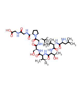 CC(C)C[C@H](NC(=O)[C@H](CO)NC(=O)[C@@H](NC(=O)[C@@H](NC(=O)[C@@H](NC(=O)[C@@H](N)CC(C)C)C(C)C)[C@@H](C)O)C(C)C)C(=O)N1CCC[C@H]1C(=O)NCC(=O)NCC(=O)O